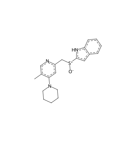 Cc1cnc(C[S+]([O-])c2cc3ccccc3[nH]2)cc1N1CCCCC1